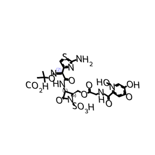 CC(C)(O/N=C(\C(=O)N[C@@H]1C(=O)N(S(=O)(=O)O)[C@@H]1COC(=O)CNC(=O)c1cc(=O)c(O)cn1O)c1csc(N)n1)C(=O)O